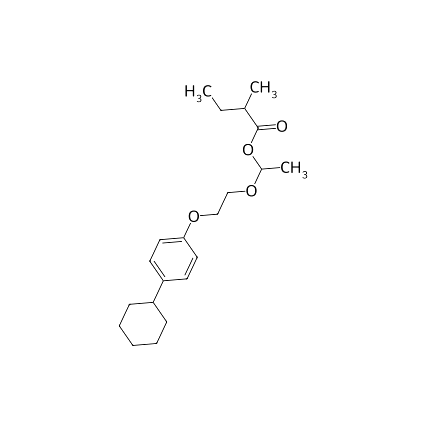 CCC(C)C(=O)OC(C)OCCOc1ccc(C2CCCCC2)cc1